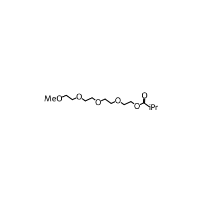 COCCOCCOCCOCCOC(=O)C(C)C